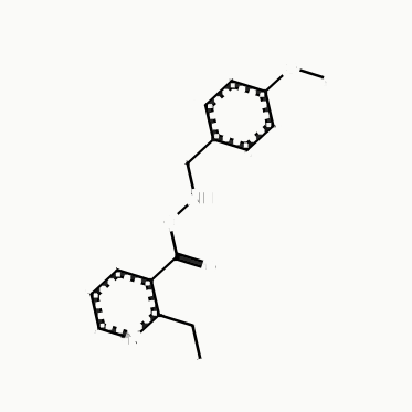 CCc1ncccc1C(=O)ONCc1ccc(OC)cc1